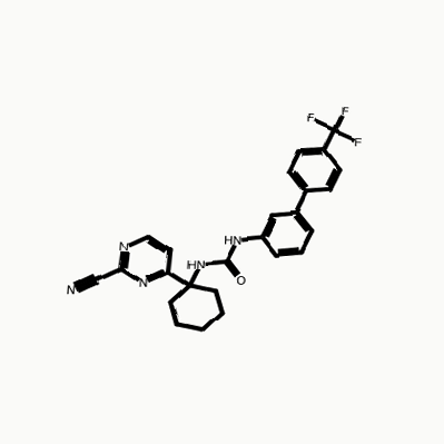 N#Cc1nccc(C2(NC(=O)Nc3cccc(-c4ccc(C(F)(F)F)cc4)c3)CCCCC2)n1